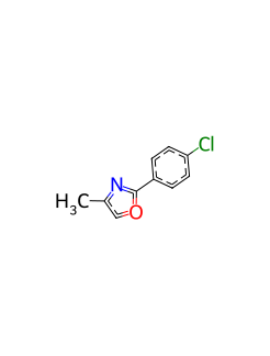 Cc1coc(-c2ccc(Cl)cc2)n1